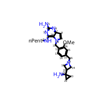 CCCCCNc1nc(N)nc2ccn(Cc3ccc(CN4CC(C5(N)CC5)C4)cc3OC)c12